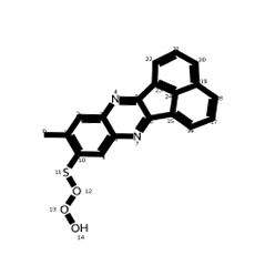 Cc1cc2nc3c(nc2cc1SOOO)-c1cccc2cccc-3c12